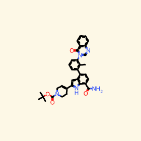 Cc1c(-c2ccc(C(N)=O)c3[nH]c(C4=CCN(C(=O)OC(C)(C)C)CC4)cc23)cccc1-n1cnc2ccccc2c1=O